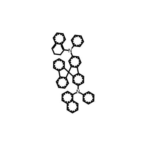 C1=c2ccccc2=C(N(c2ccccc2)c2ccc3c(c2)C2(c4ccccc4-c4ccccc42)c2cc(N(c4ccccc4)c4cccc5ccccc45)ccc2-3)CC1